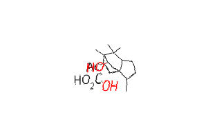 CC(=O)C1CC23CC(O)C1(C)C(C)(C)C2CCC3C.O=C(O)O